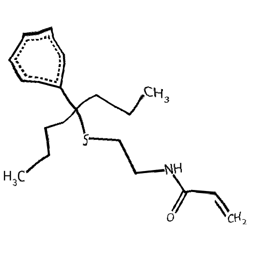 C=CC(=O)NCCSC(CCC)(CCC)c1ccccc1